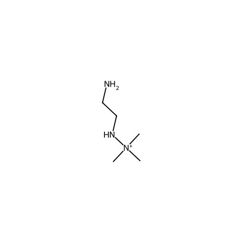 C[N+](C)(C)NCCN